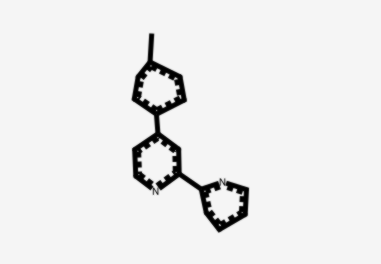 Cc1ccc(-c2ccnc(-c3ccccn3)c2)cc1